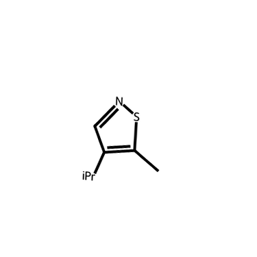 Cc1sncc1C(C)C